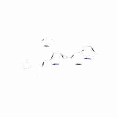 Cn1nccc1-c1cc(-c2ccc3nccnc3c2)nc2sc([S+]([O-])C3CCC3)c(N)c12